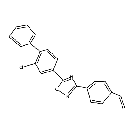 C=Cc1ccc(-c2noc(-c3ccc(-c4ccccc4)c(Cl)c3)n2)cc1